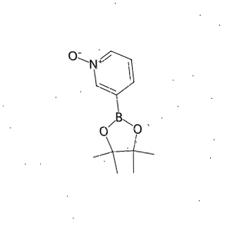 CC1(C)OB(c2ccc[n+]([O-])c2)OC1(C)C